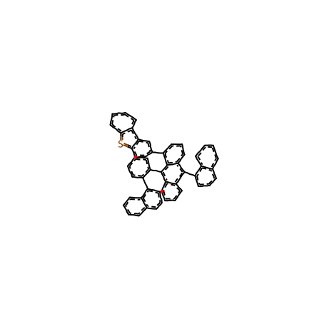 c1ccc(-c2c3ccccc3c(-c3cccc4ccccc34)c3cccc(-c4ccc5sc6ccccc6c5c4)c23)c(-c2cccc3ccccc23)c1